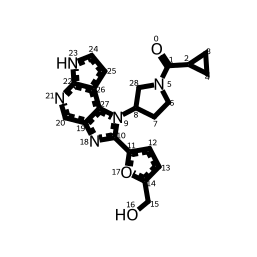 O=C(C1CC1)N1CCC(n2c(-c3ccc(CO)o3)nc3cnc4[nH]ccc4c32)C1